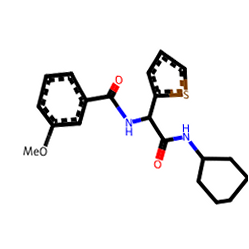 COc1cccc(C(=O)NC(C(=O)NC2CCCCC2)c2cccs2)c1